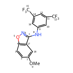 COc1ccc2onc(Nc3cc(C(F)(F)F)cc(C(F)(F)F)c3)c2c1